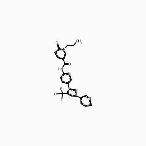 CCCn1cc(C(=O)Nc2ccc(-n3nc(-c4cccnc4)cc3C(F)(F)F)cn2)ccc1=O